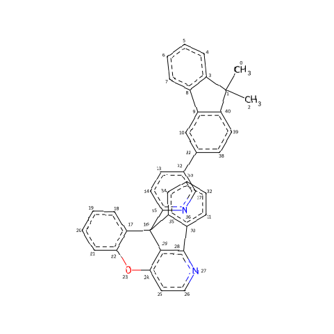 CC1(C)c2ccccc2-c2cc(-c3ccc(C45c6ccccc6Oc6ccnc(c64)-c4ccccc45)nc3)ccc21